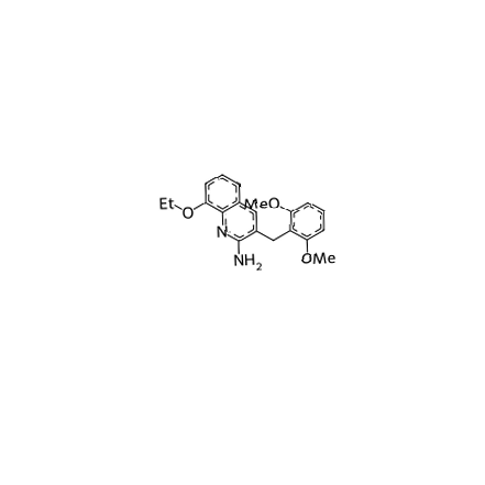 CCOc1cccc2cc(Cc3c(OC)cccc3OC)c(N)nc12